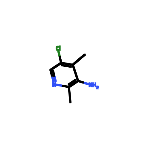 Cc1ncc(Cl)c(C)c1N